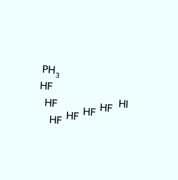 F.F.F.F.F.F.I.P